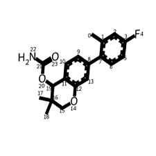 Cc1cc(F)ccc1-c1ccc2c(c1)OCC(C)(C)C2OC(N)=O